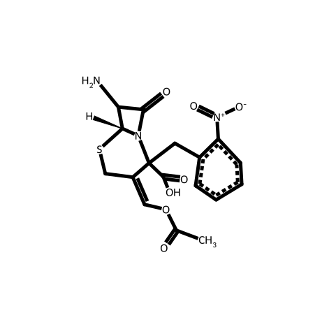 CC(=O)O/C=C1/CS[C@@H]2C(N)C(=O)N2C1(Cc1ccccc1[N+](=O)[O-])C(=O)O